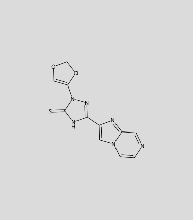 S=c1[nH]c(-c2cn3ccncc3n2)nn1C1=COCO1